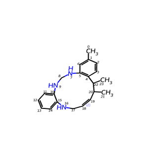 Cc1ccc2c(c1)NCNc1ccccc1NC/C=C\C(C)C2C